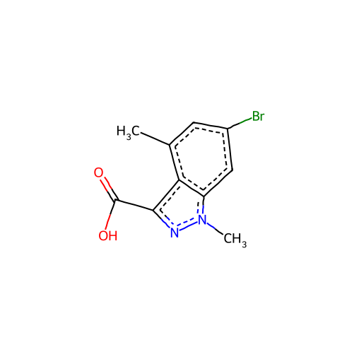 Cc1cc(Br)cc2c1c(C(=O)O)nn2C